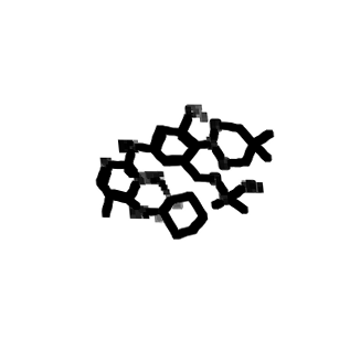 Cc1cnc(Nc2cc(CO[Si](C)(C)C(C)(C)C)c(B3OCC(C)(C)CO3)c(C(F)(F)F)c2)nc1N[C@@H]1CCCC[C@H]1C#N